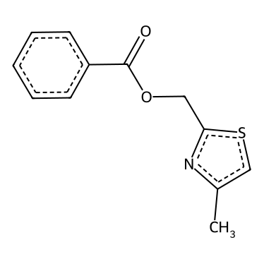 Cc1csc(COC(=O)c2ccccc2)n1